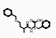 CC(CCOCc1ccccc1)C(=O)N[C@H](Cc1ccccc1)C(=O)O